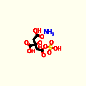 N.O=C(O)CC(O)(CC(=O)OS(=O)(=O)O)C(=O)O